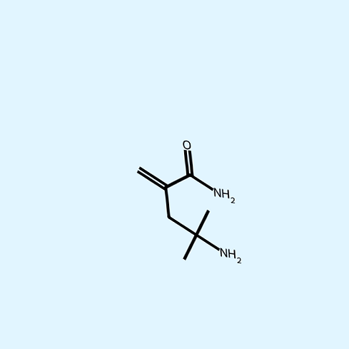 C=C(CC(C)(C)N)C(N)=O